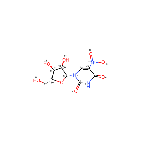 O=c1[nH]c(=O)n([C@@H]2O[C@H](CO)[C@@H](O)[C@H]2O)cc1[N+](=O)[O-]